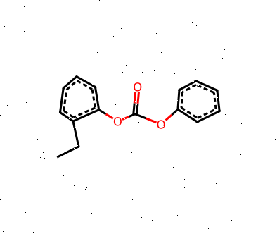 CCc1ccccc1OC(=O)Oc1ccccc1